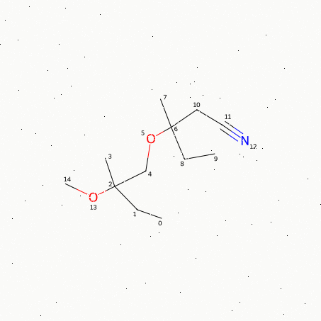 CCC(C)(COC(C)(CC)CC#N)OC